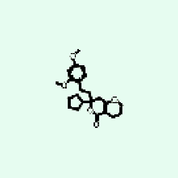 COc1ccc(CCC2(C3CCCC3)CC3=C(CCCO3)C(=O)O2)c(OC)c1